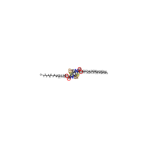 CCCCCCCCCCCCCCCCOC(=O)c1nc2c(Br)c3sc(C(=O)OCCCCCCCCCCCCCCCC)nc3c(Br)c2s1